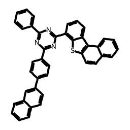 c1ccc(-c2nc(-c3ccc(-c4ccc5ccccc5c4)cc3)nc(-c3cccc4c3sc3ccc5ccccc5c34)n2)cc1